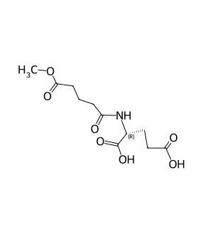 COC(=O)CCCC(=O)N[C@H](CCC(=O)O)C(=O)O